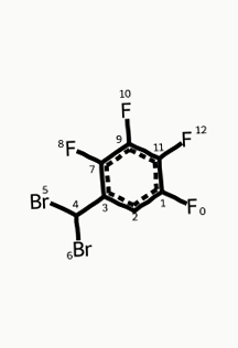 Fc1cc(C(Br)Br)c(F)c(F)c1F